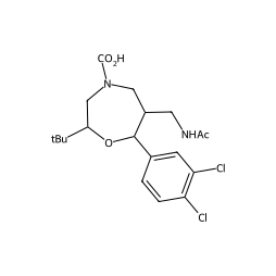 CC(=O)NCC1CN(C(=O)O)CC(C(C)(C)C)OC1c1ccc(Cl)c(Cl)c1